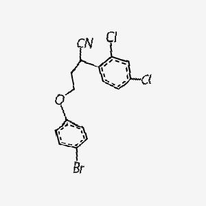 N#CC(CCOc1ccc(Br)cc1)c1ccc(Cl)cc1Cl